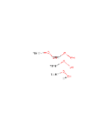 O=C([O-])OO.O=C([O-])OO.O=C([O-])OO.O=C([O-])OO.[Ti+4]